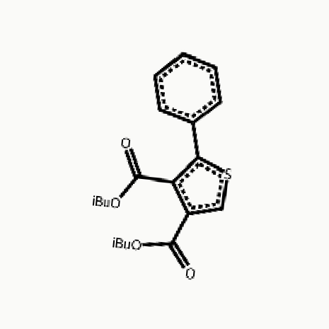 CC(C)COC(=O)c1csc(-c2ccccc2)c1C(=O)OCC(C)C